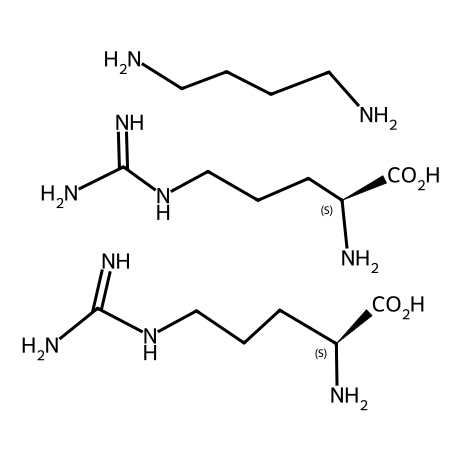 N=C(N)NCCC[C@H](N)C(=O)O.N=C(N)NCCC[C@H](N)C(=O)O.NCCCCN